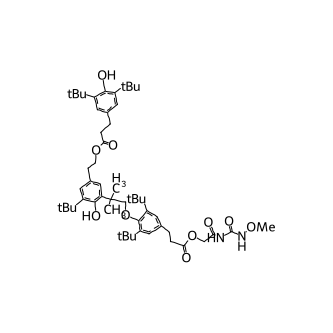 CONC(=O)NC(=O)COC(=O)CCc1cc(C(C)(C)C)c(OCC(C)(C)c2cc(CCOC(=O)CCc3cc(C(C)(C)C)c(O)c(C(C)(C)C)c3)cc(C(C)(C)C)c2O)c(C(C)(C)C)c1